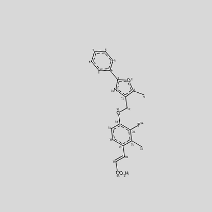 Cc1oc(-c2ccccc2)nc1COc1ccc(C=CC(=O)O)c(C)c1F